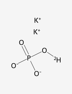 [2H]OP(=O)([O-])[O-].[K+].[K+]